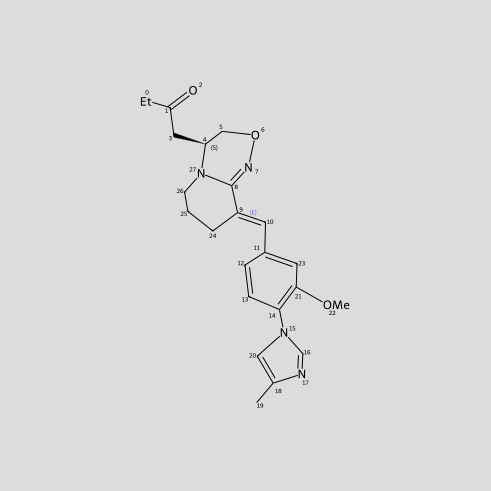 CCC(=O)C[C@H]1CON=C2/C(=C/c3ccc(-n4cnc(C)c4)c(OC)c3)CCCN21